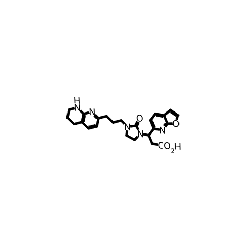 O=C(O)CC(c1ccc2ccoc2n1)N1CCN(CCCc2ccc3c(n2)NCCC3)C1=O